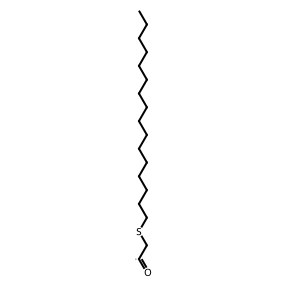 CCCCCCCCCCCCCCCCSC[C]=O